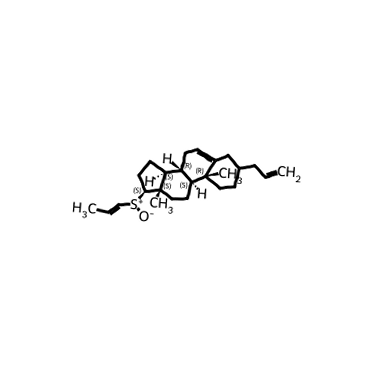 C=CCC1CC[C@@]2(C)C(=CC[C@H]3[C@@H]4CC[C@H]([S+]([O-])C=CC)[C@@]4(C)CC[C@@H]32)C1